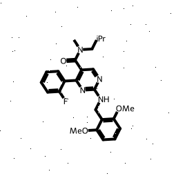 COc1cccc(OC)c1CNc1ncc(C(=O)N(C)CC(C)C)c(-c2ccccc2F)n1